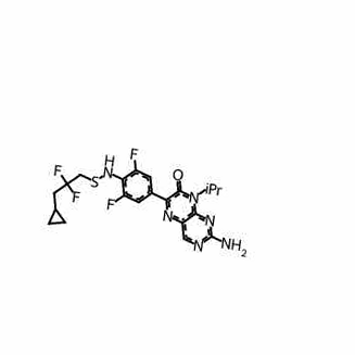 CC(C)n1c(=O)c(-c2cc(F)c(NSCC(F)(F)CC3CC3)c(F)c2)nc2cnc(N)nc21